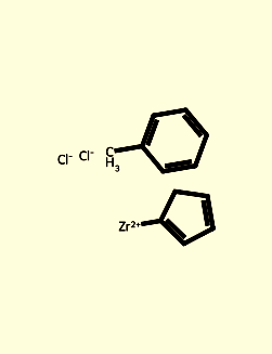 Cc1ccccc1.[Cl-].[Cl-].[Zr+2][C]1=CC=CC1